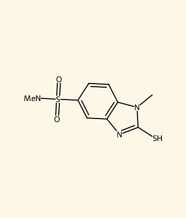 CNS(=O)(=O)c1ccc2c(c1)nc(S)n2C